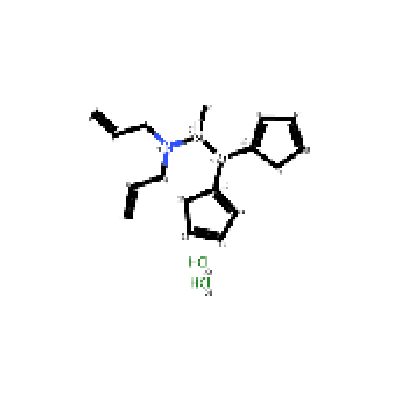 C=CCN(CC=C)[SiH](C)[Zr]([C]1=CC=CC1)[C]1=CC=CC1.Cl.Cl